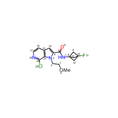 COCCn1c(C(=O)NC23CC(F)(C2)C3)cc2ccnc(Cl)c21